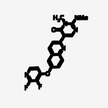 CNc1ncc(-c2ccc3cc(Oc4ccnc(F)c4F)ccc3n2)c(=O)n1C